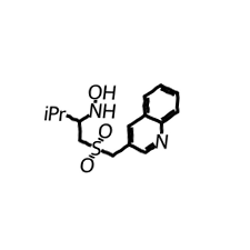 CC(C)C(CS(=O)(=O)Cc1cnc2ccccc2c1)NO